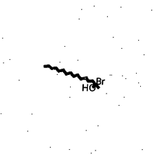 CCCCCCCCCCCCCCC(C)(O)Br